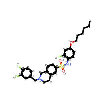 CCCCCCOc1ccc(NS(=O)(=O)c2ccc3c(c2)CCN(Cc2ccc(F)c(F)c2)C3)c(F)c1